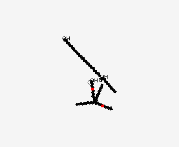 CCCCCCCCCCCC(=O)O.CCCCCCCCCCCC(CCCCCCCCCCC)(CCCCCCCCCCC)CCCCCCCCCCC(=O)O.CCCCCCCCCCCCCCCCCCCCCCCCCCCCCCO